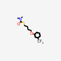 CN(C)C(=O)SCCCCOc1cccc(C(F)(F)F)c1